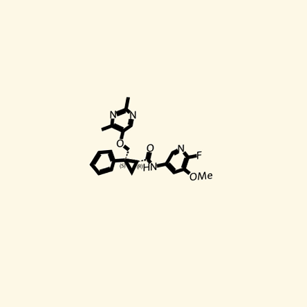 COc1cc(NC(=O)[C@@H]2C[C@@]2(COc2cnc(C)nc2C)c2ccccc2)cnc1F